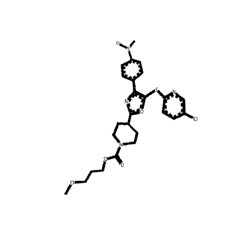 COCCCOC(=O)N1CCC(c2nc(-c3ccc([S+](C)[O-])cc3)c(Sc3ccc(Cl)cn3)o2)CC1